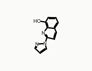 Oc1cccc2ccc(-n3cccn3)nc12